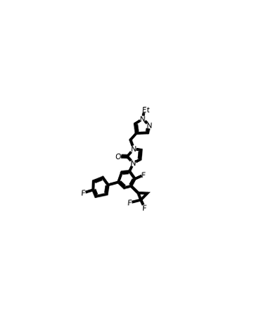 CCn1cc(Cn2ccn(-c3cc(-c4ccc(F)cc4)cc(C4CC4(F)F)c3F)c2=O)cn1